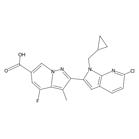 Cc1c(-c2cc3ccc(Cl)nc3n2CC2CC2)nn2cc(C(=O)O)cc(F)c12